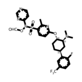 Cc1nc(O[C@H]2CC[C@H](c3cc(C(F)(F)F)ccc3F)C[C@@H]2N(C)C)ccc1S(=O)(=O)N(OC=O)c1ccncn1